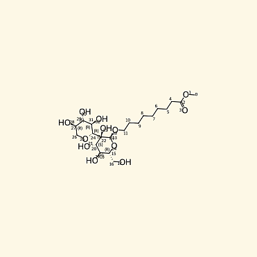 COC(=O)CCCCCCCCO[C@H]1O[C@H](CO)[C@@H](O)[C@H](O)[C@]1(O)[C@@H]1OC[C@@H](O)[C@H](O)[C@H]1O